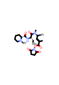 C/C(=C\C(C(C)C)N(C)C(=O)[C@H](CC(C)(C)C)NC(=O)[C@H]1CCCCN1C(C)C)C(=O)ON1C(=O)CCC1=O